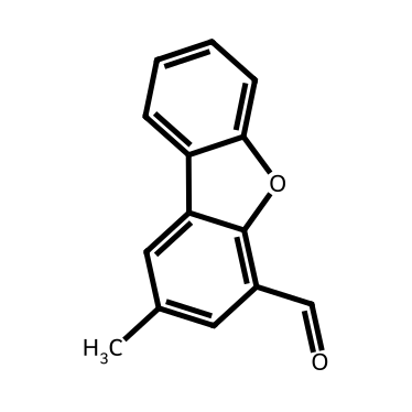 Cc1cc(C=O)c2oc3ccccc3c2c1